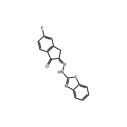 O=C1/C(=N\Nc2nc3ccccc3s2)Cc2cc(F)ccc21